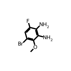 COc1c(Br)cc(F)c(N)c1N